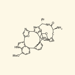 COc1ccc2c3c(c[nH]c13)-c1cnc(o1)-c1nc3oc1C14c5cc(ccc5O[C@@H]1Nc1c-2cccc14)C[C@H](N)C(=O)N[C@H]3C(C)C